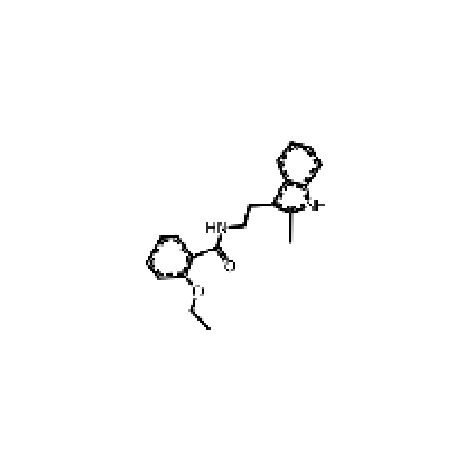 CCOc1ccccc1C(=O)NCCc1c(C)[nH]c2ccccc12